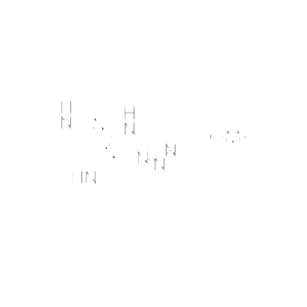 COC[C@H](C)n1cc(Nc2nc(N[C@@H](C)C3CC3)c3cc[nH]c3n2)nn1